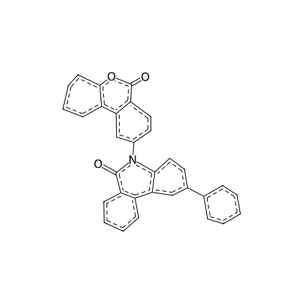 O=c1oc2ccccc2c2cc(-n3c(=O)c4ccccc4c4cc(-c5ccccc5)ccc43)ccc12